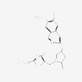 COc1cc2cnc(OC3CC(C)N(Cc4sc(NC(C)=O)nc4F)C3)cc2cc1F